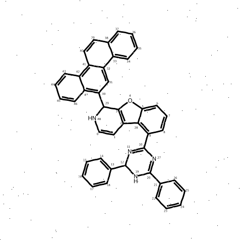 C1=Cc2c(oc3cccc(C4=NC(c5ccccc5)NC(c5ccccc5)=N4)c23)C(c2cc3c4ccccc4ccc3c3ccccc23)N1